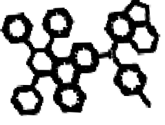 Cc1ccc(N(c2ccc3c4c(c5ccccc5c3c2)=C(C2=CC=CCC2)CC(c2ccccc2)C=4c2ccccc2)c2ccc3c4c2CCC=C4CC3)cc1